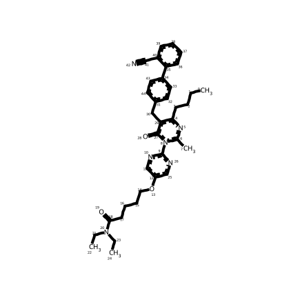 CCCCc1nc(C)n(-c2ncc(OCCCCC(=O)N(CC)CC)cn2)c(=O)c1Cc1ccc(-c2ccccc2C#N)cc1